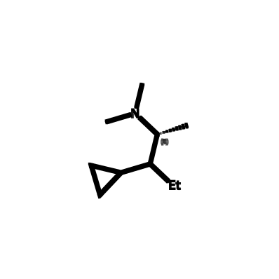 CCC(C1CC1)[C@@H](C)N(C)C